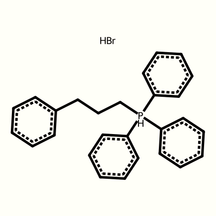 Br.c1ccc(CCC[PH](c2ccccc2)(c2ccccc2)c2ccccc2)cc1